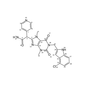 Cn1c(C(C(N)=O)c2ccncc2)nc2c1c(=O)n(Cc1cc3c(Cl)cccc3[nH]1)c(=O)n2C